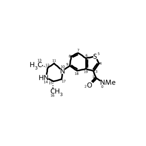 CNC(=O)c1csc2ccc(N3C[C@@H](C)N[C@@H](C)C3)cc12